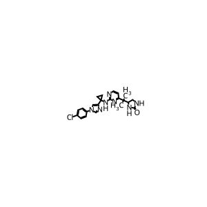 CC(C)(c1ccnc(NC2(c3cn(-c4ccc(Cl)cc4)cn3)CC2)n1)C1CNC(=O)N1